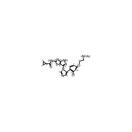 CC(=O)NCCOc1ccc(-c2cncn2-c2n[nH]c3nc(NC(=O)C4CC4)sc23)c(Cl)c1